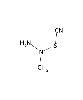 CN(N)SC#N